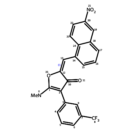 CNC1=C(c2cccc(C(F)(F)F)c2)C(=O)/C(=C\c2cccc3cc([N+](=O)[O-])ccc23)O1